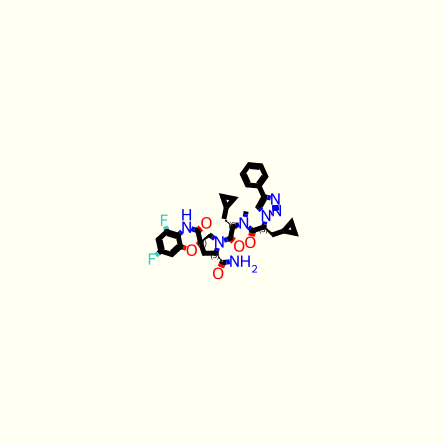 CN(C(=O)[C@H](CC1CC1)n1cc(-c2ccccc2)nn1)[C@@H](CC1CC1)C(=O)N1C[C@@]2(C[C@H]1C(N)=O)Oc1cc(F)cc(F)c1NC2=O